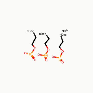 CCCCCCCCCCCCO[PH](=O)[O-].CCCCCCCCCCCCO[PH](=O)[O-].CCCCCCCCCCCCO[PH](=O)[O-].[Nd+3]